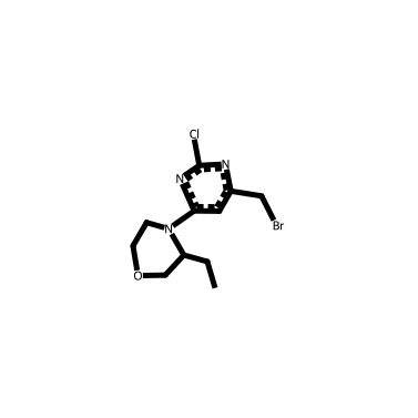 CCC1COCCN1c1cc(CBr)nc(Cl)n1